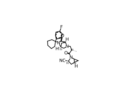 C[C@@H](CN1C[C@@H]2C[C@H]1C(=O)N2C1(c2ccc(F)cc2)CCCCC1)C(=O)N1C2C[C@H]2C[C@H]1C#N